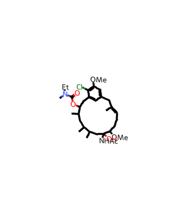 CCN(C)C(=O)OC1Cc2cc(cc(OC)c2Cl)C/C(C)=C/CCC(OC)C(O)(NC(C)=O)CC(C)C(C)CC1C